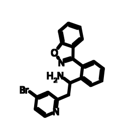 NC(Cc1cc(Br)ccn1)c1ccccc1-c1noc2ccccc12